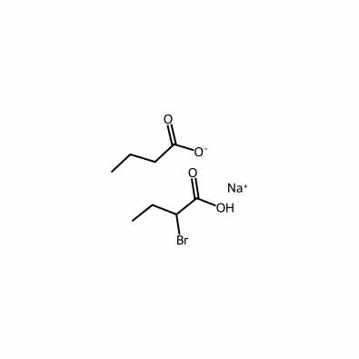 CCC(Br)C(=O)O.CCCC(=O)[O-].[Na+]